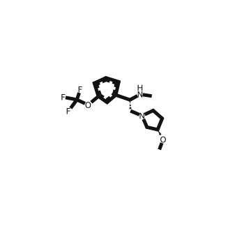 CN[C@H](CN1CC[C@H](OC)C1)c1cccc(OC(F)(F)F)c1